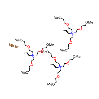 CC=C[N+](CCOCCOC)(CCOCCOC)CCOCCOC.CC=C[N+](CCOCCOC)(CCOCCOC)CCOCCOC.CC=C[N+](CCOCCOC)(CCOCCOC)CCOCCOC.[Br-].[Br-].[Br-]